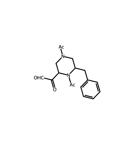 CC(=O)N1CC(Cc2ccccc2)N(C(C)=O)C(C(=O)C=O)C1